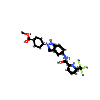 COC(=O)[C@H]1CC[C@H](n2cc3cc(NC(=O)c4cccc(C(F)(F)F)n4)ccc3n2)CC1